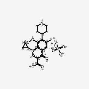 COc1c(C2CCNCC2)c(F)cc2c(=O)c(C(=O)O)cn(C3CC3)c12.CS(=O)(=O)O